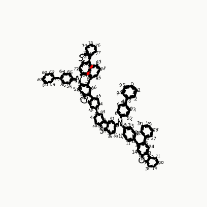 c1ccc(-c2ccc(N(c3ccc(-c4cc5oc6ccccc6c5cc4-c4ccccc4)cc3)c3ccc4sc5ccc(-c6ccc7c(c6)oc6cc(N(c8ccc(-c9ccccc9)cc8)c8ccc9c(c8)sc8ccccc89)c(-c8ccccc8)cc67)cc5c4c3)cc2)cc1